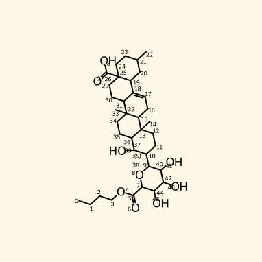 CCCCOC(=O)C1OC(C2CCC3(C)C4CC=C5C6CC(C)CCC6(C(=O)O)CCC5C4(C)CCC3[C@]2(C)O)C(O)C(O)C1O